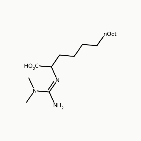 CCCCCCCCCCCCC(N=C(N)N(C)C)C(=O)O